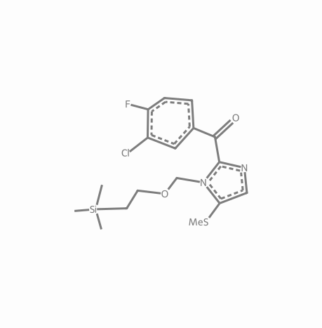 CSc1cnc(C(=O)c2ccc(F)c(Cl)c2)n1COCC[Si](C)(C)C